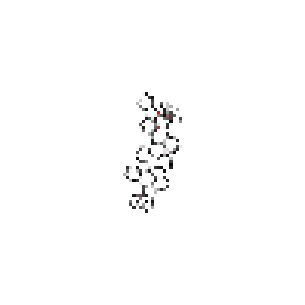 CC1(C)c2cc(N(c3cccc(C4(c5ccccc5)c5ccccc5C5(c6ccccc6)c6ccccc6-c6cccc4c65)c3)c3ccccc3-c3ccccc3)ccc2C2C=CC=CC21